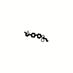 CC=CC(=O)Oc1ccc(-c2ccc(-c3ccc(C)s3)cc2)cc1